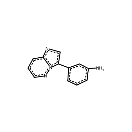 Nc1cccc(-c2cnc3cc[c]nn23)c1